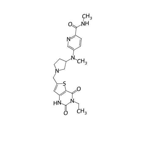 CCn1c(=O)[nH]c2cc(CN3CCC(N(C)c4ccc(C(=O)NC)nc4)C3)sc2c1=O